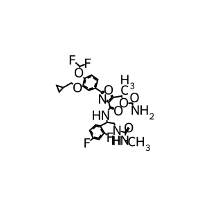 CNC(=O)NCC(NC(=O)c1nc(-c2ccc(OC(F)F)c(OCC3CC3)c2)oc1C(C)OC(N)=O)c1ccc(F)cc1F